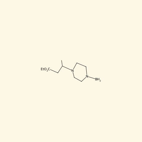 BN1CCN(C(C)CC(=O)OCC)CC1